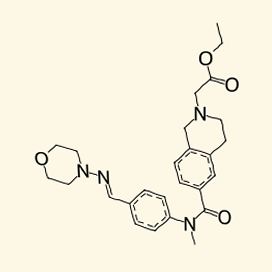 CCOC(=O)CN1CCc2cc(C(=O)N(C)c3ccc(C=NN4CCOCC4)cc3)ccc2C1